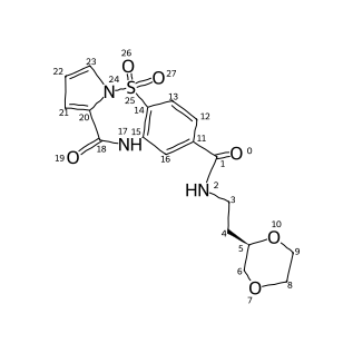 O=C(NCC[C@@H]1COCCO1)c1ccc2c(c1)NC(=O)c1cccn1S2(=O)=O